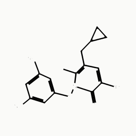 Cc1c(CC2CC2)cc(C(C)C)c(=O)n1Sc1cc(C#N)cc(C#N)c1